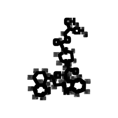 CC(C)COC(=O)N1CCN(C(=O)Cn2c(CN(C)C3CCCc4cccnc43)nc3ccccc32)CC1